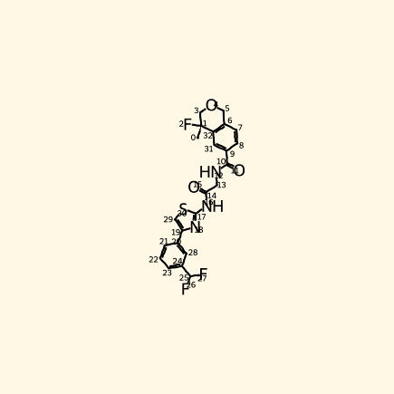 C[C@@]1(F)COCc2ccc(C(=O)NCC(=O)Nc3nc(-c4cccc(C(F)F)c4)cs3)cc21